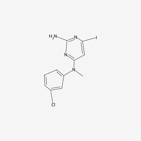 CN(c1cccc(Cl)c1)c1cc(I)nc(N)n1